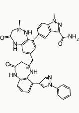 C[C@@H]1CC(=O)Nc2cc(C[C@@H]3CC(=O)Nc4cccc(-c5cnn(-c6ccccc6)c5)c4N3)cc(-c3ccc4c(c3)c(C(N)=O)nn4C)c2N1